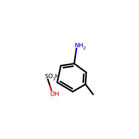 Cc1cccc(N)c1.O=S(=O)(O)O